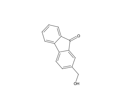 O=C1c2ccccc2-c2ccc(CO)cc21